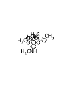 CCCC(Oc1c(OC)c(OC)c(OC(C)=O)c2cc(NC)ccc12)c1cccc(C)c1